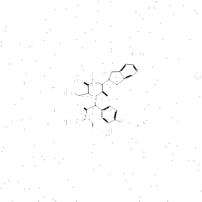 CC(C)CC1C(=O)NC(C2Cc3ccccc3C2)C(=O)N1C(C(=O)N(C)CC(=O)O)c1ccc(F)cc1